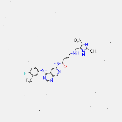 Cc1nc([N+](=O)[O-])c(CNC/C=C/C(=O)Nc2cc3c(Nc4ccc(F)c(C(F)(F)F)c4)ncnc3cn2)[nH]1